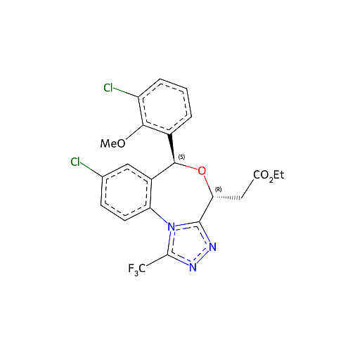 CCOC(=O)C[C@H]1O[C@H](c2cccc(Cl)c2OC)c2cc(Cl)ccc2-n2c1nnc2C(F)(F)F